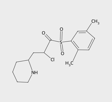 Cc1ccc(C)c(S(=O)(=O)C(=O)C(Cl)CC2CCCCN2)c1